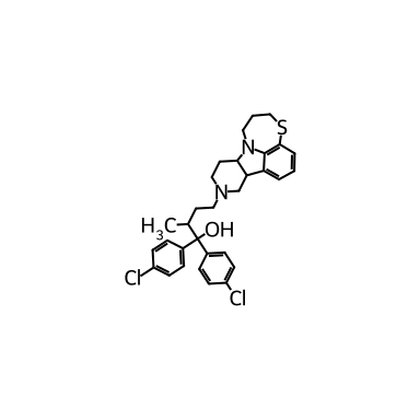 CC(CCN1CCC2C(C1)c1cccc3c1N2CCCS3)C(O)(c1ccc(Cl)cc1)c1ccc(Cl)cc1